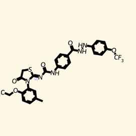 Cc1ccc(OCC(F)(F)F)c(N2C(=O)CS/C2=N\C(=O)Nc2ccc(C(=O)NNc3ccc(OC(F)(F)F)cc3)cc2)c1